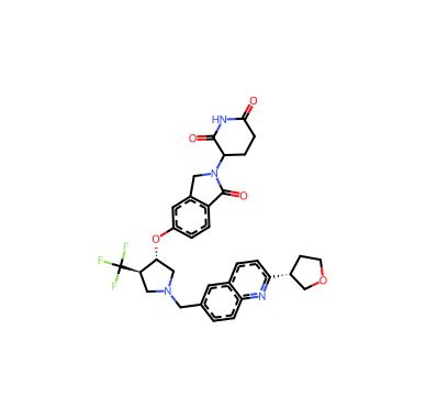 O=C1CCC(N2Cc3cc(O[C@@H]4CN(Cc5ccc6nc([C@@H]7CCOC7)ccc6c5)C[C@H]4C(F)(F)F)ccc3C2=O)C(=O)N1